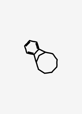 c1ccc2c(c1)C1CCCCCCC2C1